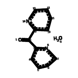 O.O=C(c1ccccn1)c1ccccn1